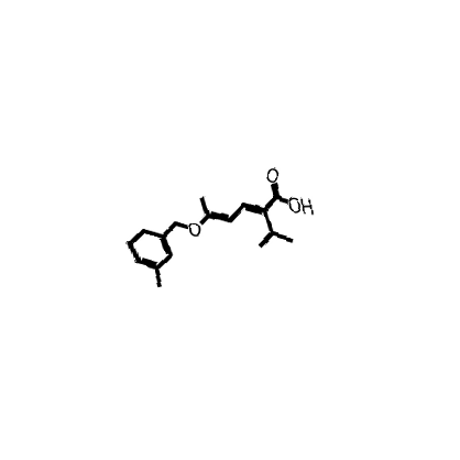 CC1=CCCC(CO/C(C)=C/C=C(/C(=O)O)C(C)C)=C1